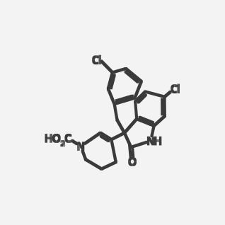 O=C(O)N1C=C(C2(Cc3cccc(Cl)c3)C(=O)Nc3cc(Cl)ccc32)CCC1